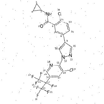 O=C(NC1CC1)c1cc(-c2cnn(-c3ncc(C(F)(C(F)(F)F)C(F)(F)F)cc3Cl)c2)ccc1Cl